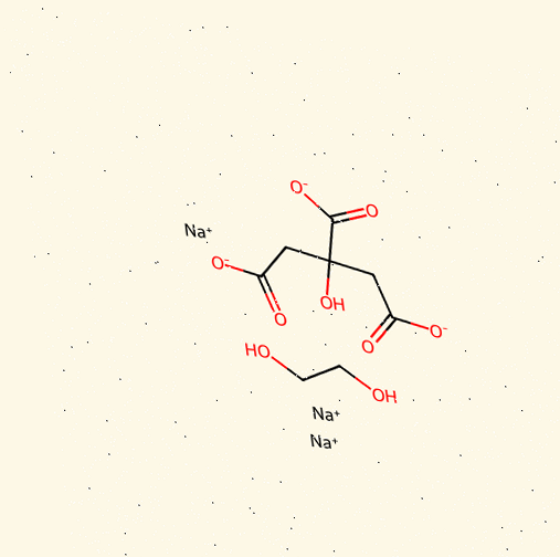 O=C([O-])CC(O)(CC(=O)[O-])C(=O)[O-].OCCO.[Na+].[Na+].[Na+]